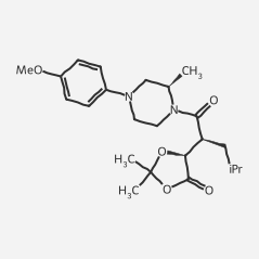 COc1ccc(N2CCN(C(=O)[C@@H](CC(C)C)[C@@H]3OC(C)(C)OC3=O)[C@H](C)C2)cc1